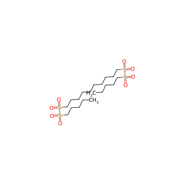 CCCCCS(=O)(=O)S(=O)(=O)CCCCCCCCCCS(=O)(=O)S(=O)(=O)CCCCC